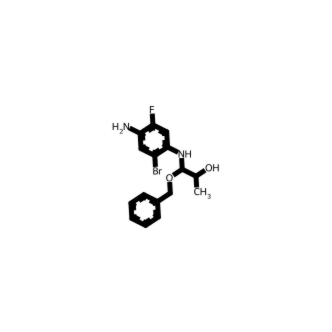 CC(O)C(Nc1cc(F)c(N)cc1Br)OCc1ccccc1